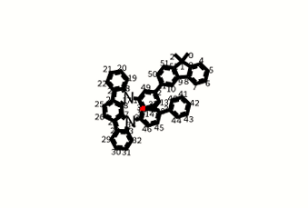 CC1(C)c2ccccc2-c2cc(-c3cccc(-n4c5ccccc5c5ccc6c7ccccc7n(-c7ccc(-c8ccccc8)cc7)c6c54)c3)ccc21